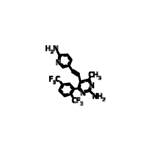 Cc1nc(N)nc(-c2cc(C(F)(F)F)ccc2C(F)(F)F)c1C#Cc1ccc(N)nc1